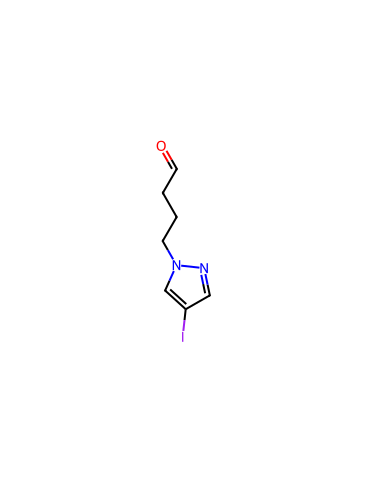 O=CCCCn1cc(I)cn1